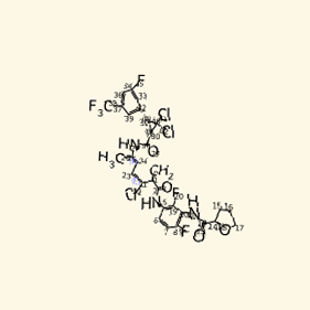 C=C(C(=O)Nc1ccc(F)c(NC(=O)C2CCCO2)c1F)/C(Cl)=C\C=C(/C)NC(=O)[C@H]1[C@H](c2cc(F)cc(C(F)(F)F)c2)C1(Cl)Cl